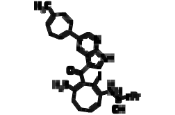 B/C1=C(C(=O)c2c[nH]c3ncc(C4=CCC=C(C)C=C4)cc23)/C(I)=C(N[SH](#C)CCC)\C=C/CC1